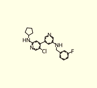 Fc1cccc(CNc2cncc(-c3cc(NC4CCCC4)ncc3Cl)c2)c1